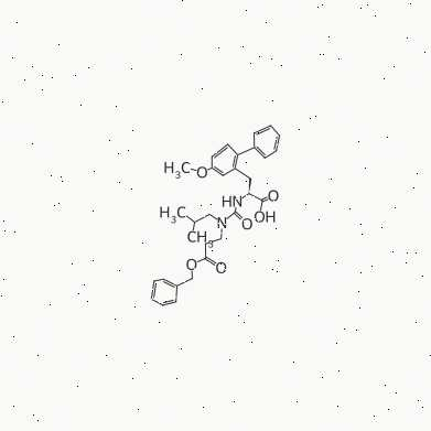 COc1ccc(-c2ccccc2)c(C[C@H](NC(=O)N(CCC(=O)OCc2ccccc2)CC(C)C)C(=O)O)c1